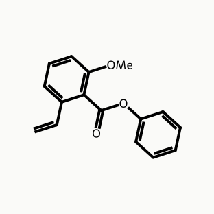 C=Cc1cccc(OC)c1C(=O)Oc1ccccc1